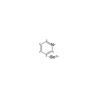 [Be+2].c1ccncc1